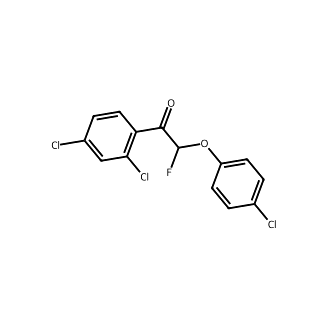 O=C(c1ccc(Cl)cc1Cl)C(F)Oc1ccc(Cl)cc1